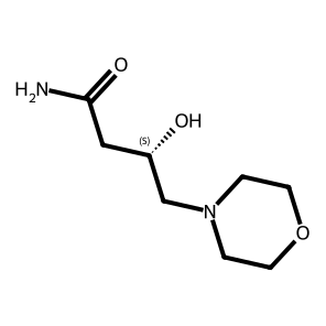 NC(=O)C[C@H](O)CN1CCOCC1